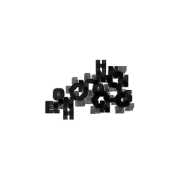 CCC(=O)NC1CCN(CC(=O)Nc2cc(-c3sccc3-c3ccccn3)ncn2)CC1